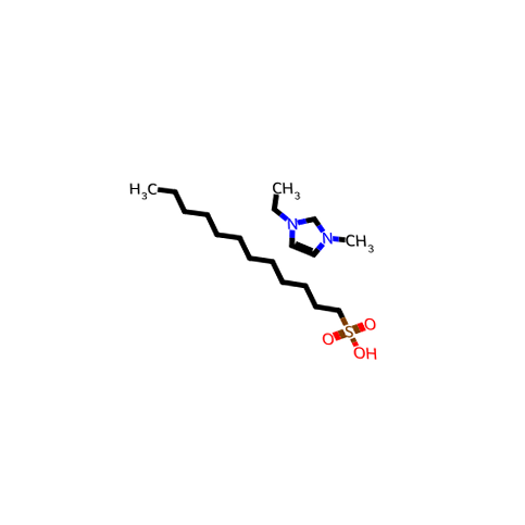 CCCCCCCCCCCCS(=O)(=O)O.CCN1C=CN(C)C1